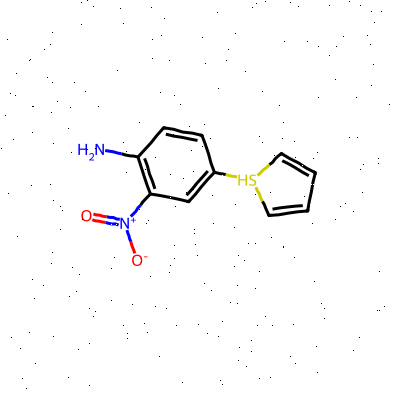 Nc1ccc([SH]2C=CC=C2)cc1[N+](=O)[O-]